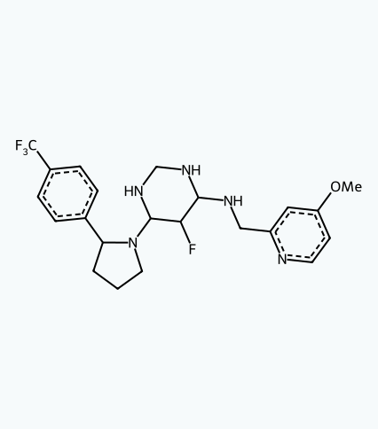 COc1ccnc(CNC2NCNC(N3CCCC3c3ccc(C(F)(F)F)cc3)C2F)c1